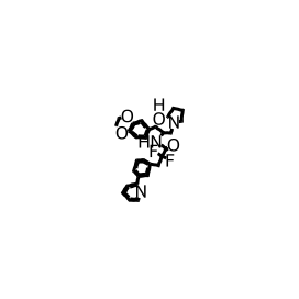 O=C(NC(CN1CCCC1)C(O)c1ccc2c(c1)OCCO2)C(F)(F)Cc1cccc(-c2ccccn2)c1